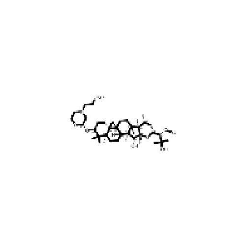 CCO[C@@H]([C@H]1C[C@@H](C)[C@H]2[C@H](O1)[C@H](O)[C@@]1(C)[C@@H]3CC[C@H]4C(C)(C)[C@@H](O[C@H]5CN(CCOC)CCO5)CC[C@@]45C[C@@]35CC[C@]21C)C(C)(C)O